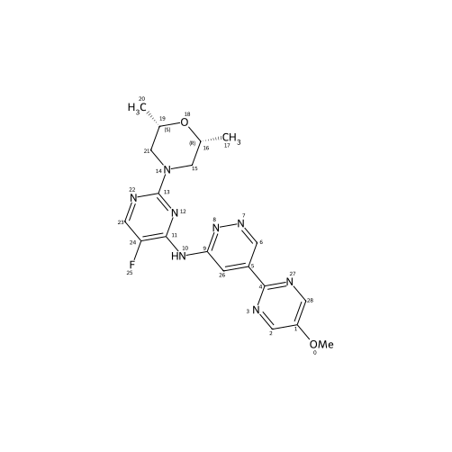 COc1cnc(-c2cnnc(Nc3nc(N4C[C@@H](C)O[C@@H](C)C4)ncc3F)c2)nc1